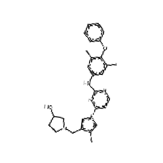 Cc1cn(-c2ccnc(Nc3cc(C)c(Oc4ccccc4)c(C)c3)n2)cc1CN1CCC(O)C1